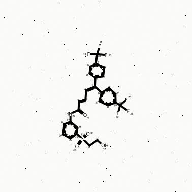 O=C(C=CC=C(c1ccc(C(F)(F)F)cc1)c1ccc(C(F)(F)F)cc1)Nc1cccc(S(=O)(=O)CCO)c1